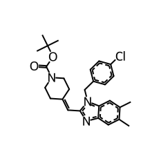 Cc1cc2nc(C=C3CCN(C(=O)OC(C)(C)C)CC3)n(Cc3ccc(Cl)cc3)c2cc1C